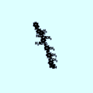 COc1cc([N+]#[N+]c2ccc(N=Nc3ccc(N=Nc4ccc(S(=O)(=O)O)cc4C)c(C)c3)c(C)c2)c(OC)cc1N=Nc1c(C)cc2cc(N3Cc4ccccc4C3)ccc2c1O